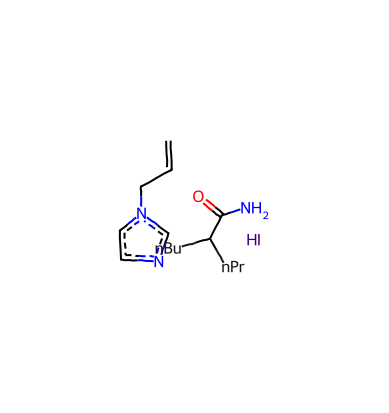 C=CCn1ccnc1.CCCCC(CCC)C(N)=O.I